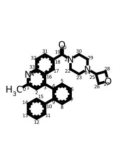 Cc1cc(-c2ccccc2-c2ccccc2)c2cc(C(=O)N3CCN(C4COC4)CC3)ccc2n1